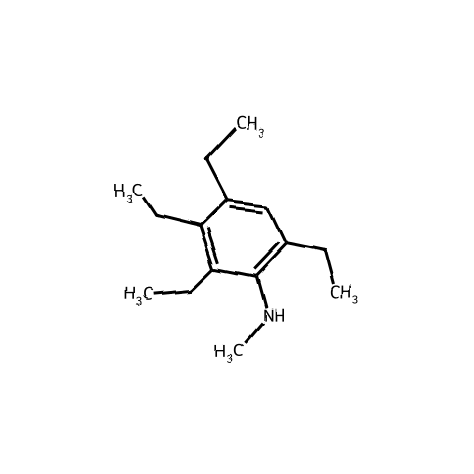 CCc1cc(CC)c(NC)c(CC)c1CC